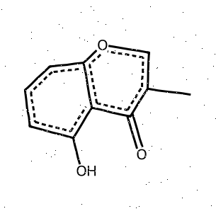 Cc1coc2cccc(O)c2c1=O